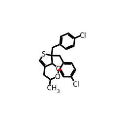 CC1CC2=CSC(Cc3ccc(Cl)cc3)(Cc3ccc(Cl)cc3)C2OO1